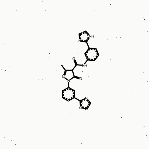 CC1=NN(c2cccc(-c3ncco3)c2)C(=O)C1C(=O)Nc1cccc(-c2ncc[nH]2)c1